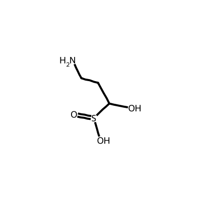 NCCC(O)S(=O)O